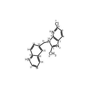 Cc1nc2ccc(Cl)nc2n1Cc1ccc2ncccc2c1